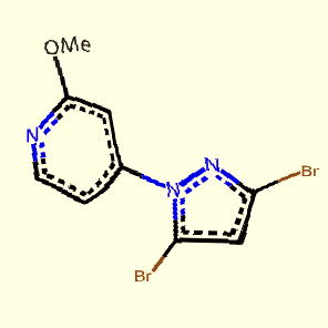 COc1cc(-n2nc(Br)cc2Br)ccn1